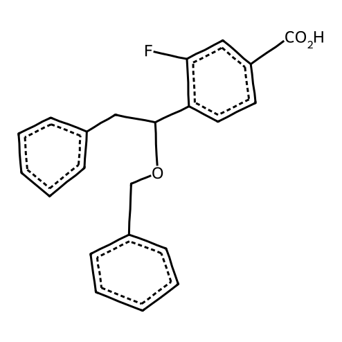 O=C(O)c1ccc(C(Cc2ccccc2)OCc2ccccc2)c(F)c1